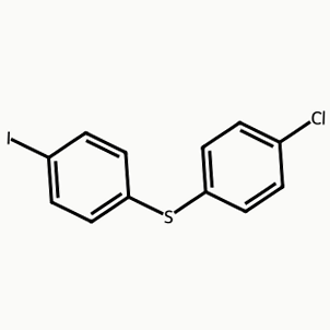 Clc1ccc(Sc2ccc(I)cc2)cc1